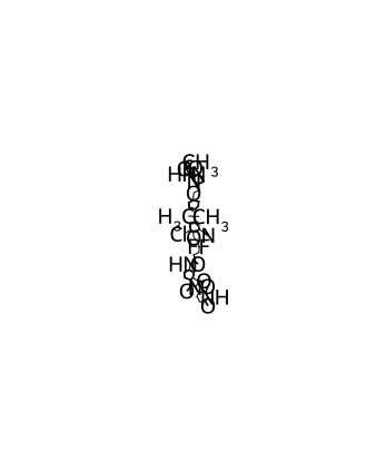 CC(C)(c1ccc(OCc2ccnc(NS(C)(=O)=O)n2)cc1)c1cc(Cl)c(OCC(F)(F)CCC(=O)Nc2ccc3c(c2)C(=O)N(C2CCC(=O)NC2=O)C3=O)c(C#N)c1